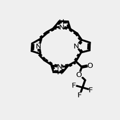 O=C(OCC(F)(F)F)c1c2nc(cc3ccc(cc4nc(cc5ccc1[nH]5)C=C4)[nH]3)C=C2